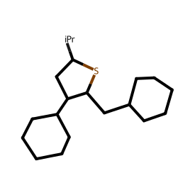 CC(C)C1CC(C2CCCCC2)C(CC2CCCCC2)S1